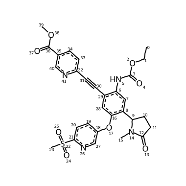 CCOC(=O)Nc1cc(C2CCC(=O)N2C)c(Oc2ccc(S(C)(=O)=O)nc2)cc1C#Cc1ccc(C(=O)OC)cn1